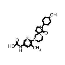 Cc1cc(NC(=O)O)cnc1N1CCC[C@@]2(CCN(C3CCC(O)CC3)C2=O)C1